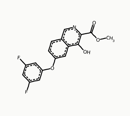 COC(=O)c1ncc2ccc(Oc3cc(F)cc(F)c3)cc2c1O